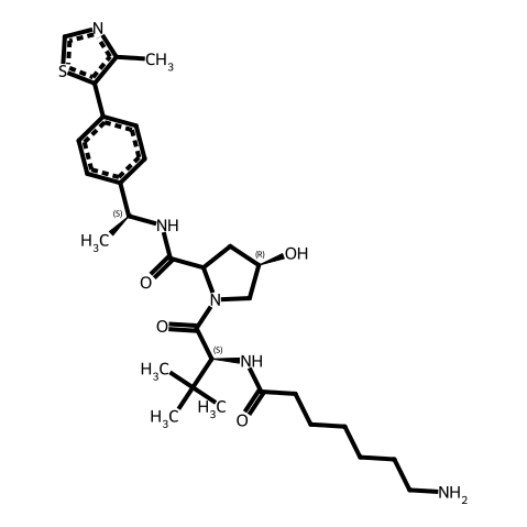 Cc1ncsc1-c1ccc([C@H](C)NC(=O)C2C[C@@H](O)CN2C(=O)[C@@H](NC(=O)CCCCCCN)C(C)(C)C)cc1